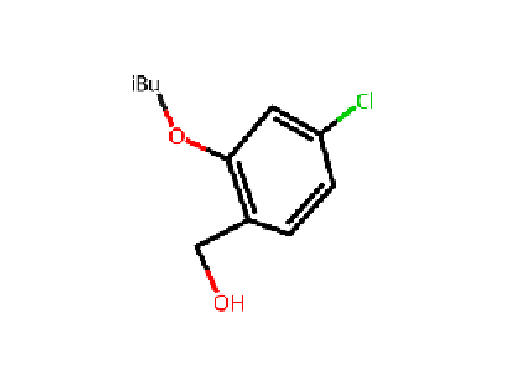 CCC(C)Oc1cc(Cl)ccc1CO